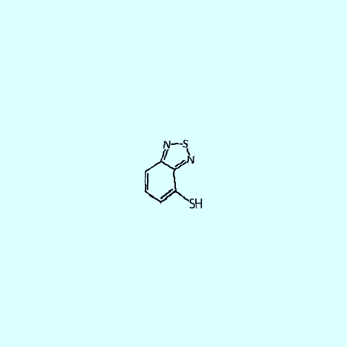 Sc1cccc2nsnc12